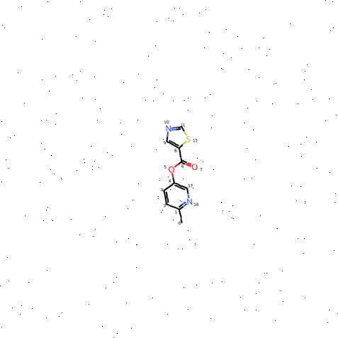 Cc1ccc(OC(=O)c2cncs2)cn1